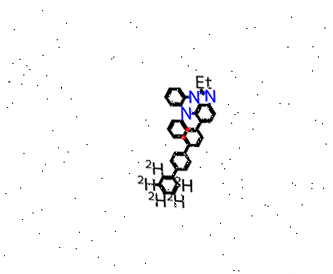 [2H]c1c([2H])c([2H])c(-c2ccc(-c3ccc(-c4ccc5nc(CC)n6c5c4N(c4ccccc4)c4ccccc4-6)cc3)cc2)c([2H])c1[2H]